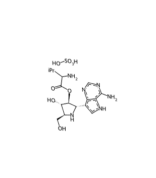 CC(C)C(N)C(=O)O[C@@H]1[C@@H](O)[C@H](CO)N[C@H]1c1c[nH]c2c(N)ncnc12.O=S(=O)(O)O